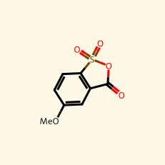 COc1ccc2c(c1)C(=O)OS2(=O)=O